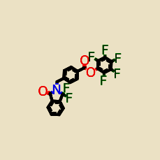 O=C(Oc1c(F)c(F)c(F)c(F)c1F)c1ccc(CN2C(=O)c3ccccc3C2(F)F)cc1